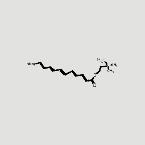 CCCCCCCCCC=CC=CC=CC=CC=CC(=O)OCC[N+](C)(C)C